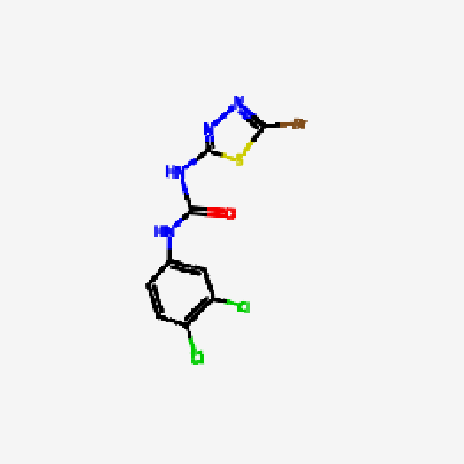 O=C(Nc1ccc(Cl)c(Cl)c1)Nc1nnc(Br)s1